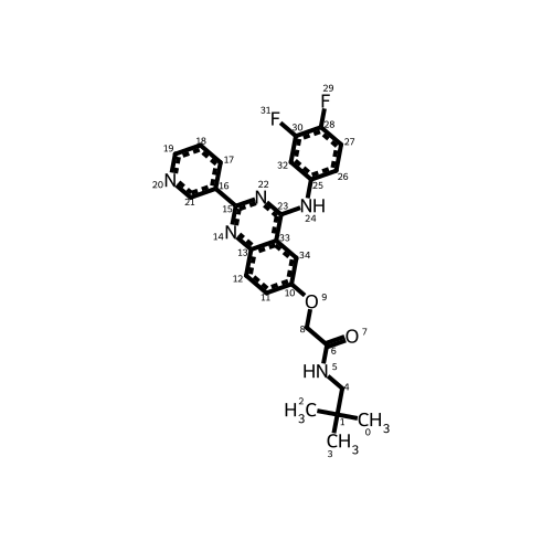 CC(C)(C)CNC(=O)COc1ccc2nc(-c3cccnc3)nc(Nc3ccc(F)c(F)c3)c2c1